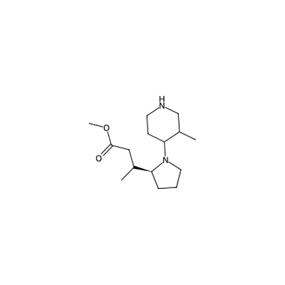 COC(=O)CC(C)[C@@H]1CCCN1C1CCNCC1C